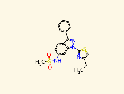 CCc1csc(-n2nc(-c3ccccc3)c3ccc(NS(C)(=O)=O)cc32)n1